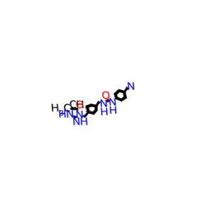 CC1(C)NC(=N)N(Cc2ccc(CNC(=O)Nc3ccc(C#N)cc3)cc2)C1=O